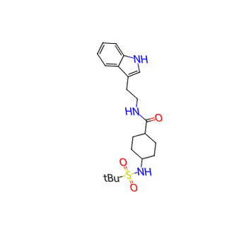 CC(C)(C)S(=O)(=O)NC1CCC(C(=O)NCCc2c[nH]c3ccccc23)CC1